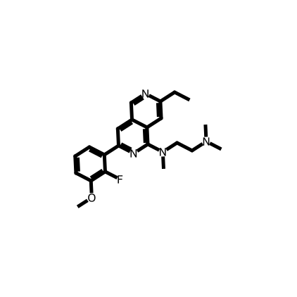 CCc1cc2c(N(C)CCN(C)C)nc(-c3cccc(OC)c3F)cc2cn1